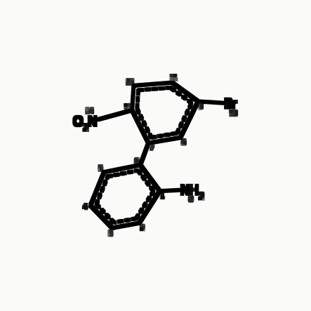 Nc1ccccc1-c1cc(Br)ccc1[N+](=O)[O-]